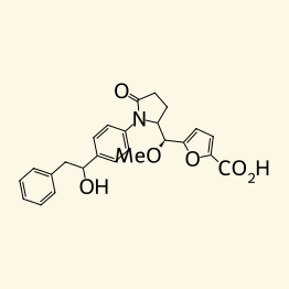 CO[C@H](c1ccc(C(=O)O)o1)C1CCC(=O)N1c1ccc(C(O)Cc2ccccc2)cc1